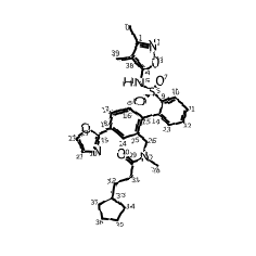 Cc1noc(NS(=O)(=O)c2ccccc2-c2ccc(-c3ncco3)cc2CN(C)C(=O)CCC2CCCC2)c1C